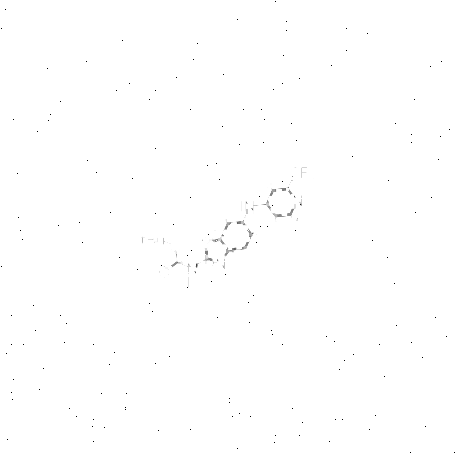 CC(C)(C)OC(=O)Nc1nc2ccc(Nc3ccnc(C(F)(F)F)c3)cc2s1